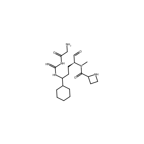 CN(C(=O)C1CCN1)[C@H](C=O)CCC(NC(=N)NC(=O)CN)C1CCCCC1